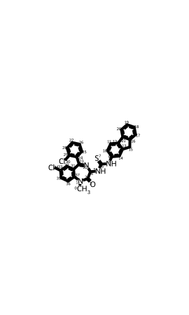 CN1C(=O)C(NC(=S)Nc2ccc3c(c2)Cc2ccccc2-3)N=C(c2ccccc2Cl)c2cc(Cl)ccc21